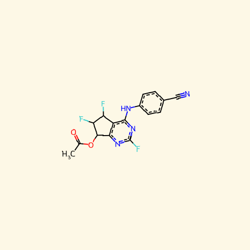 CC(=O)OC1c2nc(F)nc(Nc3ccc(C#N)cc3)c2C(F)C1F